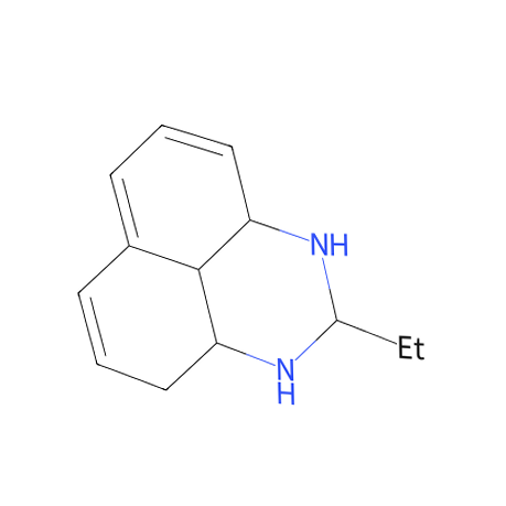 CCC1NC2C=CC=C3C=CCC(N1)C32